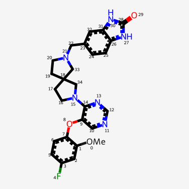 COc1cc(F)ccc1Oc1cncnc1N1CCC2(CCN(Cc3ccc4[nH]c(=O)[nH]c4c3)C2)C1